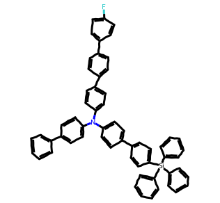 Fc1ccc(-c2ccc(-c3ccc(N(c4ccc(-c5ccccc5)cc4)c4ccc(-c5ccc([Si](c6ccccc6)(c6ccccc6)c6ccccc6)cc5)cc4)cc3)cc2)cc1